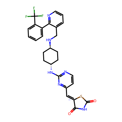 O=C1NC(=O)/C(=C/c2ccnc(N[C@H]3CC[C@H](NCc4cccnc4-c4ccccc4C(F)(F)F)CC3)n2)S1